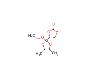 CCO[Si](OCC)(OCC)C1COC(=O)O1